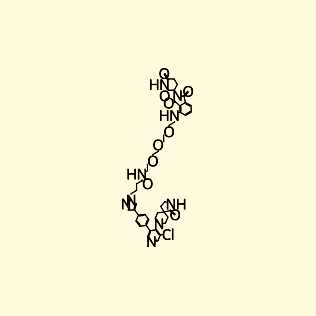 O=C(CCCn1cc(-c2ccc(-c3cncc(Cl)c3N3CCC4(CCNC4=O)CC3)cc2)cn1)NCCOCCOCCOCCNc1cccc2c1C(=O)N(C1CCC(=O)NC1=O)C2=O